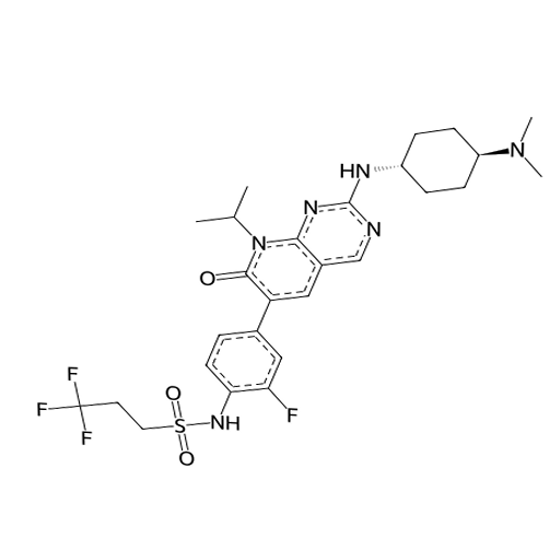 CC(C)n1c(=O)c(-c2ccc(NS(=O)(=O)CCC(F)(F)F)c(F)c2)cc2cnc(N[C@H]3CC[C@H](N(C)C)CC3)nc21